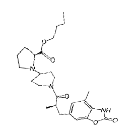 CCCCOC(=O)[C@@H]1CCCN1C1CCN(C(=O)[C@H](C)Cc2cc(C)c3[nH]c(=O)oc3c2)CC1